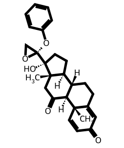 C[C@]12C=CC(=O)C=C1CC[C@@H]1[C@@H]2C(=O)C[C@@]2(C)[C@H]1CC[C@]2(O)[C@]1(Oc2ccccc2)CO1